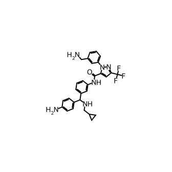 NCc1cccc(-n2nc(C(F)(F)F)cc2C(=O)Nc2cccc(C(NCC3CC3)c3ccc(N)cc3)c2)c1